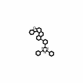 c1ccc(-c2nc(-c3ccccc3)nc(-c3cccc(-c4cccc5c4ccc4ccc6oc7ccccc7c6c45)c3)n2)cc1